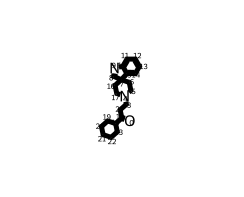 O=C(CCN1CCC2(C=Nc3ccccc32)CC1)C1CCCCC1